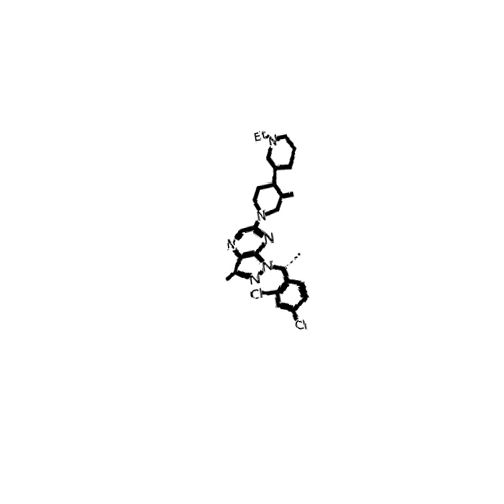 CCN1CCCC(C2CCN(c3cnc4c(C)nn([C@H](C)c5ccc(Cl)cc5Cl)c4n3)CC2C)C1